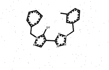 Cc1cccc(Cn2nnc(-c3cnn(Cc4ccccc4)c3S)n2)c1